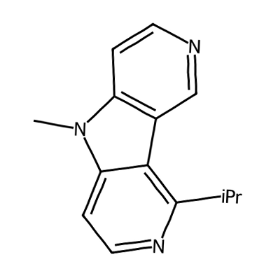 CC(C)c1nccc2c1c1cnccc1n2C